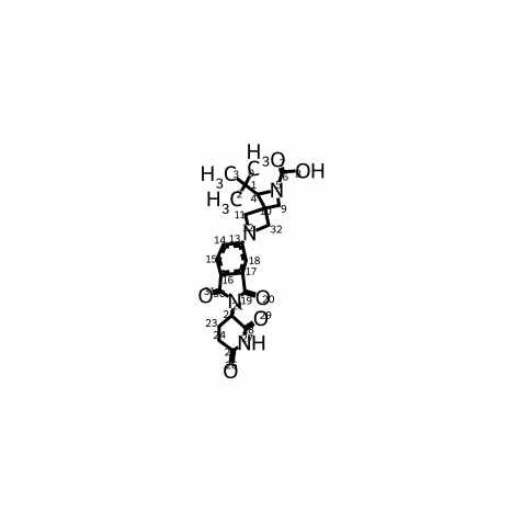 CC(C)(C)C1N(C(=O)O)CC12CN(c1ccc3c(c1)C(=O)N(C1CCC(=O)NC1=O)C3=O)C2